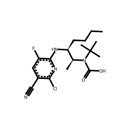 CCCC[C@H](Nc1nc(Cl)c(C#N)cc1F)[C@H](C)N(C(=O)O)C(C)(C)C